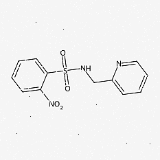 O=[N+]([O-])c1ccccc1S(=O)(=O)NCc1ccccn1